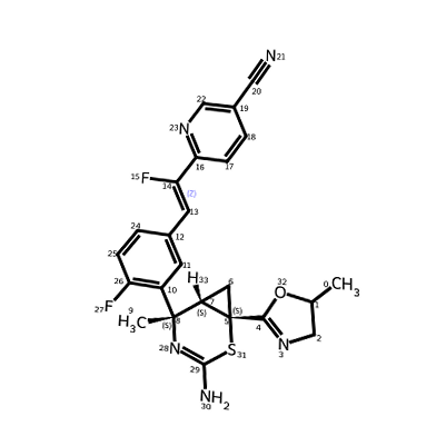 CC1CN=C([C@]23C[C@H]2[C@@](C)(c2cc(/C=C(\F)c4ccc(C#N)cn4)ccc2F)N=C(N)S3)O1